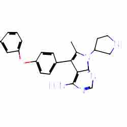 Cc1c(-c2ccc(Oc3ccccc3)cc2)c2c(N)ncnc2n1C1CCNC1